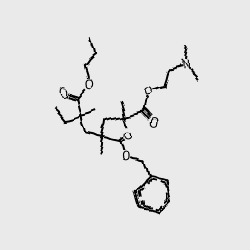 CCCOC(=O)C(C)(CC)CC(C)(CC(C)(C)C(=O)OCCN(C)C)C(=O)OCc1ccccc1